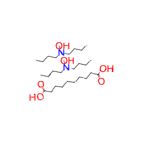 CCCCN(O)CCCC.CCCCN(O)CCCC.O=C(O)CCCCCCCCC(=O)O